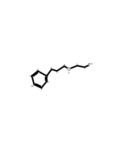 FCCOCCCc1ccccc1